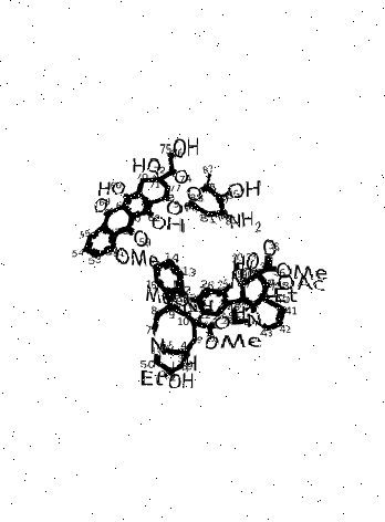 CC[C@]1(O)C[C@@H]2C[N@@](CCc3c([nH]c4ccccc34)[C@@](C(=O)OC)(c3cc4c(cc3OC)N(C)[C@H]3[C@@](O)(C(=O)OC)[C@H](OC(C)=O)[C@]5(CC)C=CCN6CC[C@]43[C@@H]65)C2)C1.COc1cccc2c1C(=O)c1c(O)c3c(c(O)c1C2=O)C[C@@](O)(C(=O)CO)C[C@@H]3O[C@H]1C[C@H](N)[C@H](O)[C@H](C)O1